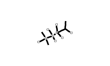 CC(Cl)[Si](Cl)(Cl)[Si](Cl)(Cl)[Si](C)(C)Cl